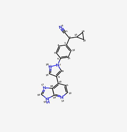 N#CC(c1ccc(-n2cc(-c3ccnc4[nH]cnc34)cn2)cc1)C1CC1